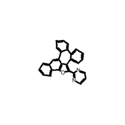 c1cnc(-c2oc3c4c(cc5ccccc53)-c3ccccc3-c3ccccc3-c24)nc1